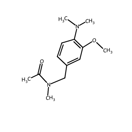 COc1cc(CN(C)C(C)=O)ccc1N(C)C